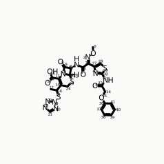 CON=C(C(=O)N[C@@H]1C(=O)N2C(C(=O)O)=C(C(C)Sn3ncnn3)CS[C@@H]12)c1csc(NC(=O)COc2ccccc2)n1